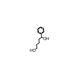 OCCCCC(O)c1ccccc1